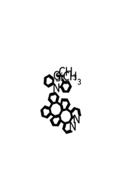 C[Si]1(C)Oc2ccccc2N(c2ccc3c(c2)c2cccc4c2-c2c(cccc2c2cccnc2c2ncccc42)c2ccccc23)c2ccccc21